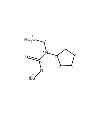 CC(C)(C)OC(=O)N(CC(=O)O)C1CCCC1